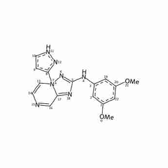 COc1cc(NC2=N[N+]3(c4cc[nH]n4)C=CN=CC3=N2)cc(OC)c1